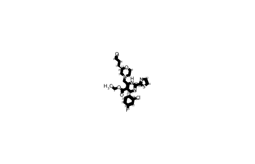 CCOC(=O)C1=C(CN2CCO[C@H](CCC=O)C2)NC(c2nccs2)=N[C@@H]1c1ccc(F)cc1Cl